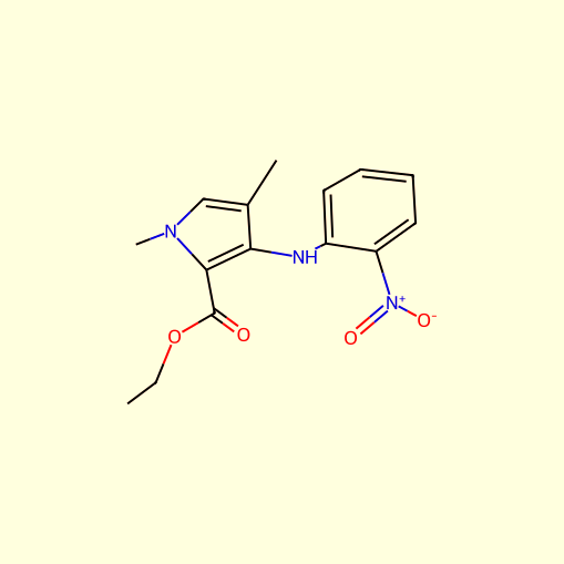 CCOC(=O)c1c(Nc2ccccc2[N+](=O)[O-])c(C)cn1C